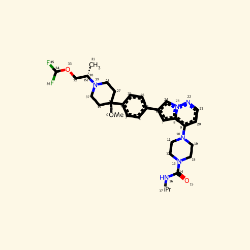 COC1(c2ccc(-c3cc4c(N5CCN(C(=O)NC(C)C)CC5)ccnn4c3)cc2)CCN([C@@H](C)COC(F)F)CC1